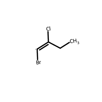 CC/C(Cl)=[C]\Br